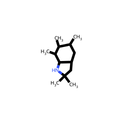 CC1CC2CC(C)(C)NC2C(C)C1C